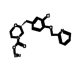 CC(C)(C)OC(=O)N1CCO[C@H](Cc2ccc(OCc3ccccn3)c(Cl)c2)C1